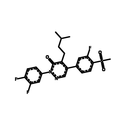 CC(C)CCc1c(-c2ccc(S(C)(=O)=O)c(F)c2)cnn(-c2ccc(F)c(F)c2)c1=O